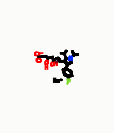 CC(C)c1c(/C=C/C(O)CC(O)CC(=O)[O-])c(-c2ccc(F)cc2)cn1C(C)C.[Na+]